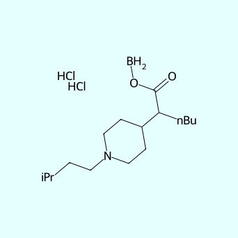 BOC(=O)C(CCCC)C1CCN(CCC(C)C)CC1.Cl.Cl